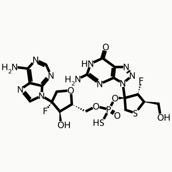 Nc1nc2c(nnn2[C@@]2(OP(=O)(S)OC[C@H]3OC[C@](F)(n4cnc5c(N)ncnc54)[C@@H]3O)CS[C@H](CO)[C@H]2F)c(=O)[nH]1